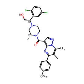 COc1ccc(-c2nc3c(C(=O)N4CCN([C@@H](CO)c5cc(F)ccc5F)C[C@H]4C)cnn3c(C(F)(F)F)c2C)cc1